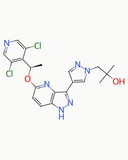 C[C@@H](Oc1ccc2[nH]nc(-c3cnn(CC(C)(C)O)c3)c2n1)c1c(Cl)cncc1Cl